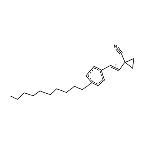 CCCCCCCCCCc1ccc(/C=C/C2(C#N)CC2)cc1